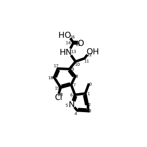 Cc1cccnc1-c1cc(C(CO)NC(=O)O)ccc1Cl